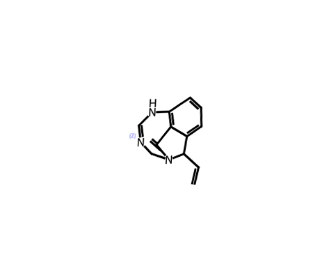 C=CC1c2cccc3c2C(=C)N1C/N=C\N3